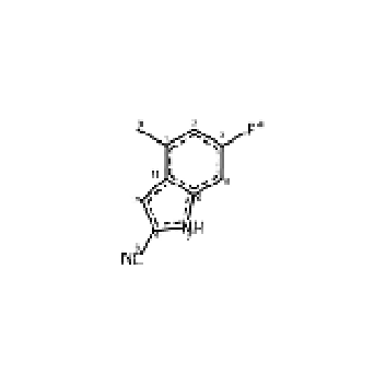 Cc1cc(F)cc2[nH]c(C#N)cc12